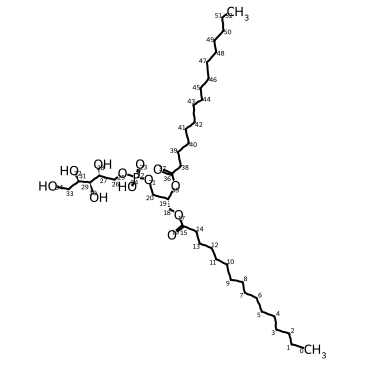 CCCCCCCCCCCCCCCC(=O)OC[C@H](COP(=O)(O)OC[C@@H](O)[C@@H](O)[C@H](O)CO)OC(=O)CCCCCCCCCCCCCCC